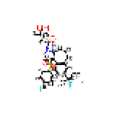 CC(C)(O)CC(=O)N1CC[C@]2(S(=O)(=O)c3ccc(F)cc3)c3ccc(C(F)(C(F)(F)F)C(F)(F)F)cc3CCC[C@H]12